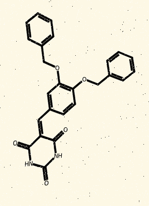 O=C1NC(=O)C(=Cc2ccc(OCc3ccccc3)c(OCc3ccccc3)c2)C(=O)N1